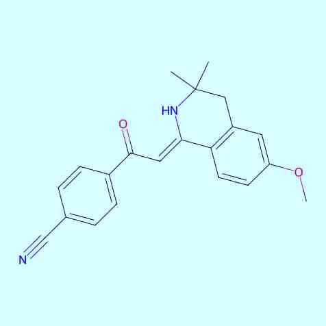 COc1ccc2c(c1)CC(C)(C)N/C2=C\C(=O)c1ccc(C#N)cc1